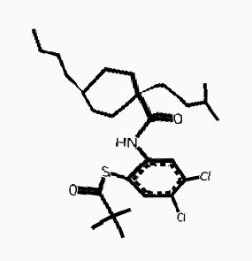 CCCC[C@H]1CC[C@](CCC(C)C)(C(=O)Nc2cc(Cl)c(Cl)cc2SC(=O)C(C)(C)C)CC1